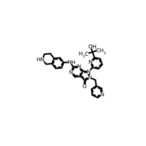 CC(C)(O)c1cccc(-n2c3nc(Nc4ccc5c(c4)CCNC5)ncc3c(=O)n2Cc2cccnc2)n1